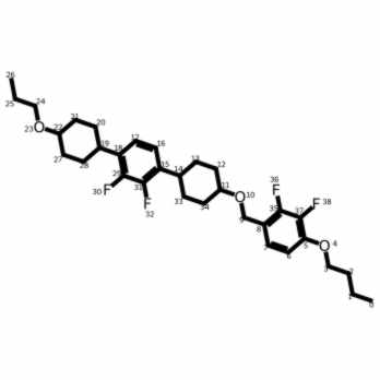 CCCCOc1ccc(COC2CCC(c3ccc(C4CCC(OCCC)CC4)c(F)c3F)CC2)c(F)c1F